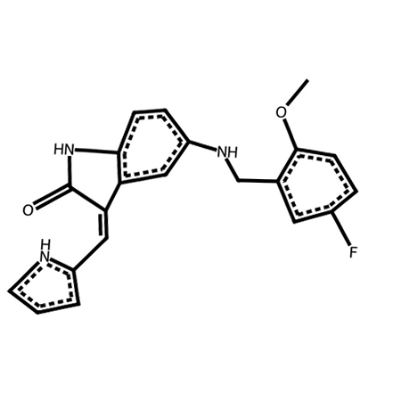 COc1ccc(F)cc1CNc1ccc2c(c1)C(=Cc1ccc[nH]1)C(=O)N2